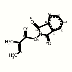 CC=C(C)C(=O)ON1C(=O)c2ccccc2C1=O